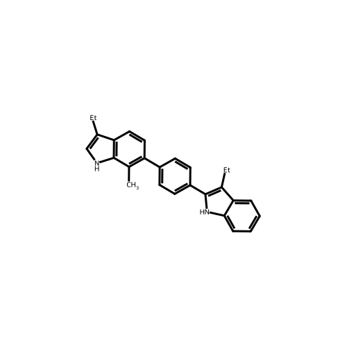 CCc1c(-c2ccc(-c3ccc4c(CC)c[nH]c4c3C)cc2)[nH]c2ccccc12